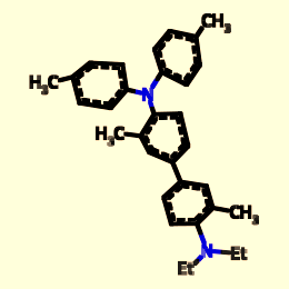 CCN(CC)c1ccc(-c2ccc(N(c3ccc(C)cc3)c3ccc(C)cc3)c(C)c2)cc1C